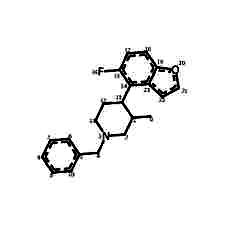 CC1CN(Cc2ccccc2)CCC1c1c(F)ccc2occc12